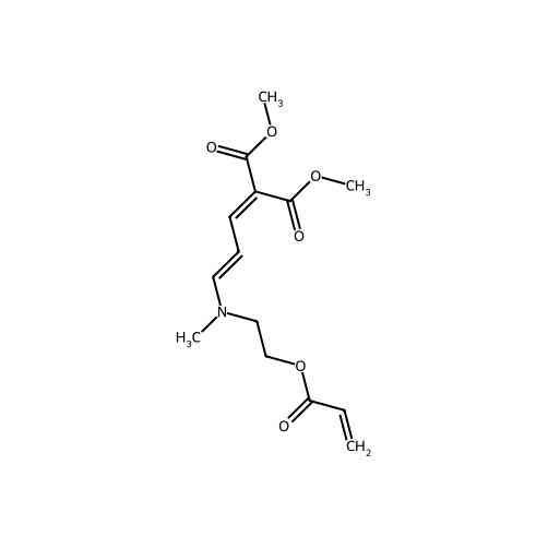 C=CC(=O)OCCN(C)/C=C/C=C(C(=O)OC)C(=O)OC